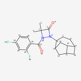 CC1(C)C(=O)N(C2CCC3CC4CC2CC34)N1C(=O)c1ccc(F)cc1F